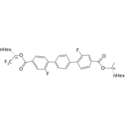 CCCCCC[C@@H](C)OC(=O)c1ccc(-c2ccc(-c3ccc(C(=O)O[C@@H](CCCCCC)C(F)(F)F)cc3F)cc2)c(F)c1